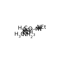 CCc1cnc(N2CCC(CCCOc3cc(C)c(C(=O)NC[C@H](C)N)c(C)c3)CC2)nc1